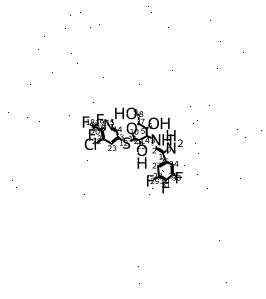 N/C(=C\NC1C(O)C(CO)OC(Sc2cnc(C(F)(F)F)c(Cl)c2)C1O)c1cc(F)c(F)c(F)c1